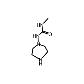 CNC(=O)NN1CCNCC1